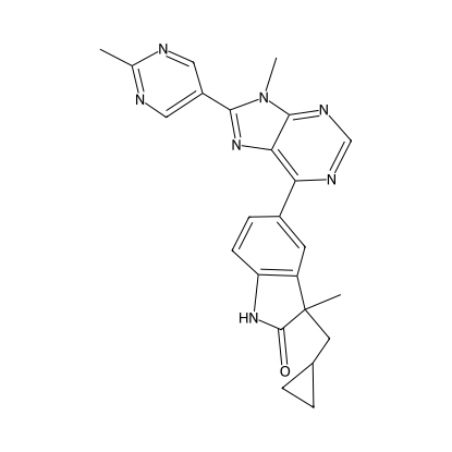 Cc1ncc(-c2nc3c(-c4ccc5c(c4)C(C)(CC4CC4)C(=O)N5)ncnc3n2C)cn1